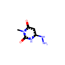 Cn1c(=O)cc(NN)[nH]c1=O